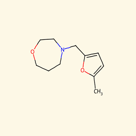 Cc1ccc(CN2CCCOCC2)o1